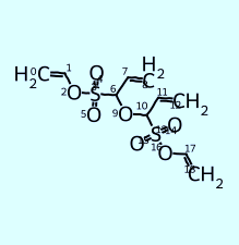 C=COS(=O)(=O)C(C=C)OC(C=C)S(=O)(=O)OC=C